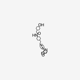 O=C(CC1CCC(O)CC1)NC1CCC(CCN2CCN(c3nccc4occc34)CC2)CC1